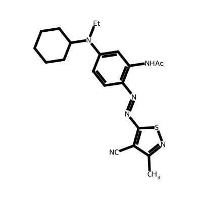 CCN(c1ccc(N=Nc2snc(C)c2C#N)c(NC(C)=O)c1)C1CCCCC1